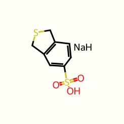 O=S(=O)(O)c1ccc2c(c1)CSC2.[NaH]